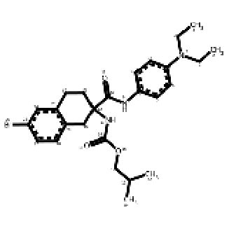 CCN(CC)c1ccc(NC(=O)C2(NC(=O)OCC(C)C)CCc3cc(Br)ccc3C2)cc1